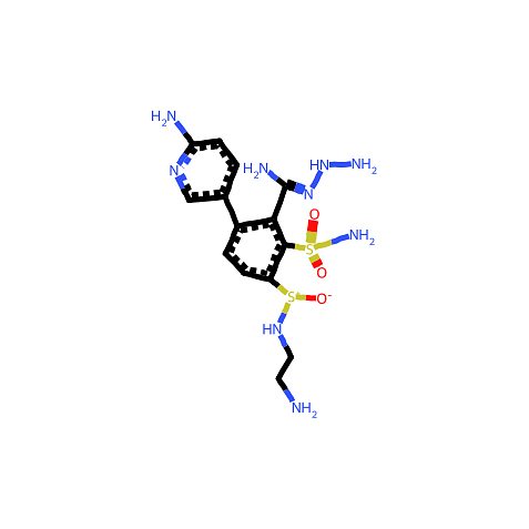 NCCN[S+]([O-])c1ccc(-c2ccc(N)nc2)c(/C(N)=N/NN)c1S(N)(=O)=O